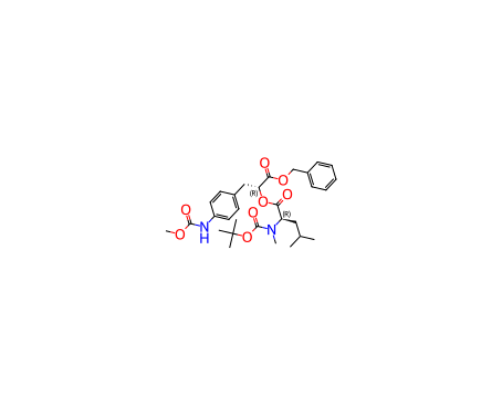 COC(=O)Nc1ccc(C[C@@H](OC(=O)[C@@H](CC(C)C)N(C)C(=O)OC(C)(C)C)C(=O)OCc2ccccc2)cc1